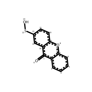 O=c1c2ccccc2oc2ccc(SO)cc12